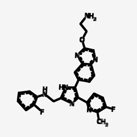 Cc1nc(-c2nc(CNc3ccccc3F)[nH]c2-c2ccc3ncc(OCCN)nc3c2)ccc1F